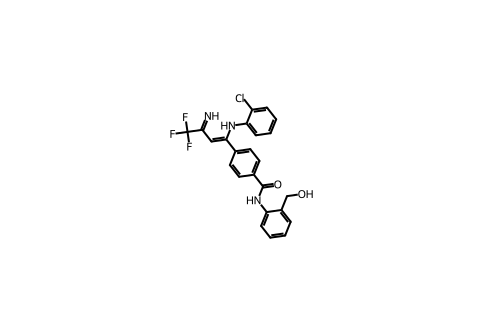 N=C(/C=C(\Nc1ccccc1Cl)c1ccc(C(=O)Nc2ccccc2CO)cc1)C(F)(F)F